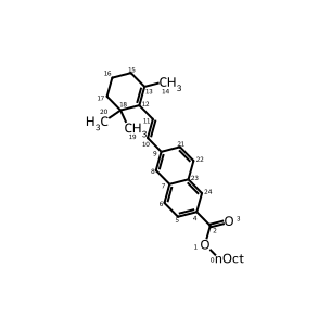 CCCCCCCCOC(=O)c1ccc2cc(/C=C/C3=C(C)CCCC3(C)C)ccc2c1